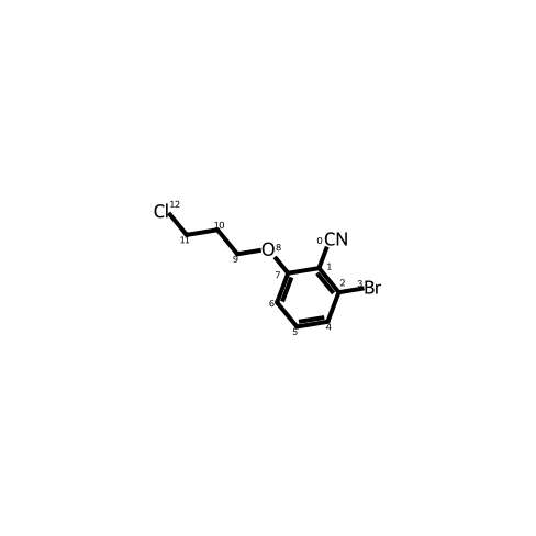 N#Cc1c(Br)cccc1OCCCCl